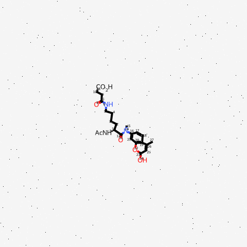 CC(=O)N[C@@H](CCCCNC(=O)CCC(=O)O)C(=O)N(C)c1ccc2c(c1)OC(O)C=C2C